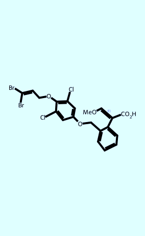 CO/C=C(/C(=O)O)c1ccccc1COc1cc(Cl)c(OCC=C(Br)Br)c(Cl)c1